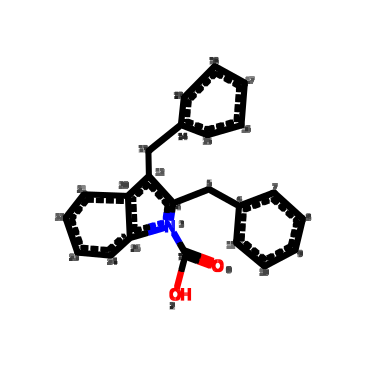 O=C(O)n1c(Cc2ccccc2)c(Cc2ccccc2)c2ccccc21